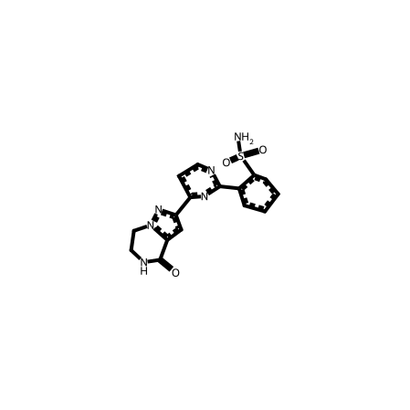 NS(=O)(=O)c1ccccc1-c1nccc(-c2cc3n(n2)CCNC3=O)n1